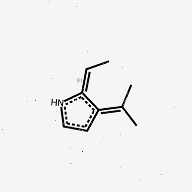 C/C=c1/[nH]ccc1=C(C)C